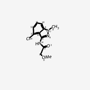 COCC(=O)Nc1nn(C)c2cccc(Cl)c12